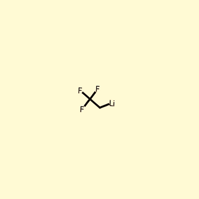 [Li][CH2]C(F)(F)F